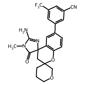 CN1C(=O)C2(CC3(CCCOC3)Oc3ccc(-c4cc(C#N)cc(C(F)(F)F)c4)cc32)N=C1N